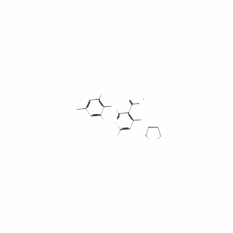 CNC(=O)c1c(N[C@H]2CCOC2)cc(C)nc1Oc1c(C)cc(Cl)cc1C